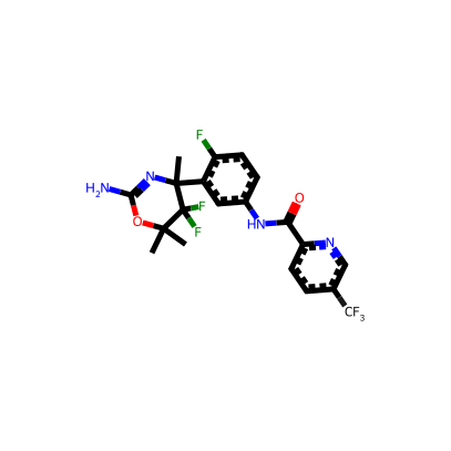 CC1(C)OC(N)=NC(C)(c2cc(NC(=O)c3ccc(C(F)(F)F)cn3)ccc2F)C1(F)F